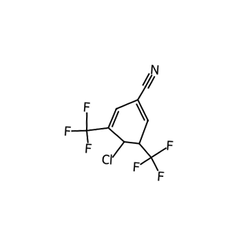 N#CC1=CC(C(F)(F)F)C(Cl)C(C(F)(F)F)=C1